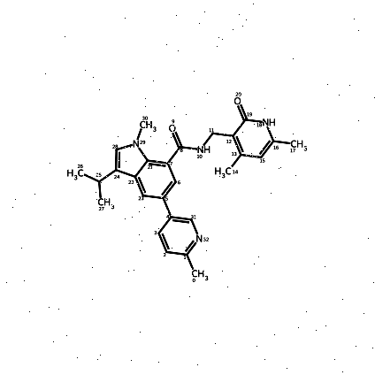 Cc1ccc(-c2cc(C(=O)NCc3c(C)cc(C)[nH]c3=O)c3c(c2)c(C(C)C)cn3C)cn1